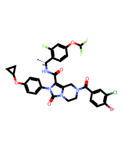 C[C@@H](NC(=O)c1c2n(c(=O)n1-c1ccc(OC3CC3)cc1)CCN(C(=O)c1ccc(Br)c(Cl)c1)C2)c1ccc(OC(F)F)cc1F